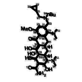 B=C1C(C(N)=O)=C(O)[C@@H](N(C)C)[C@@H]2C[C@@H]3Cc4c(c(OC)cc(CN(CCCC)CC5CC5)c4N(C)C)C(=O)C3=C(O)[C@]12O